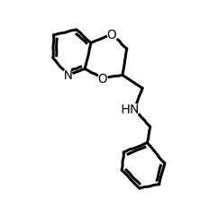 c1ccc(CNCC2COc3cccnc3O2)cc1